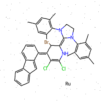 Cc1cc(C)c(N2CCN(c3c(C)cc(C)cc3C)C2=C2NC(Cl)=C(Cl)C(=c3cccc4c3=Cc3ccccc3-4)C2Br)c(C)c1.[Ru]